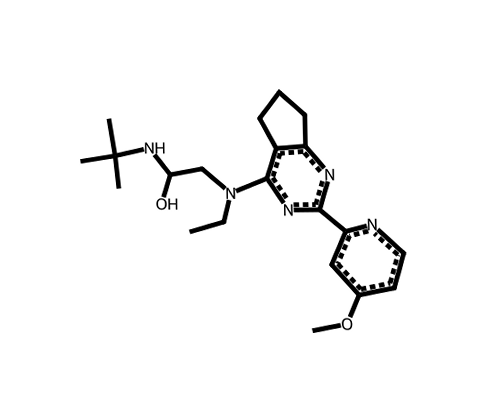 CCN(CC(O)NC(C)(C)C)c1nc(-c2cc(OC)ccn2)nc2c1CCC2